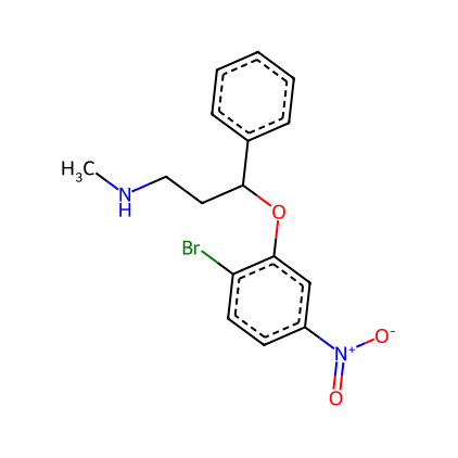 CNCCC(Oc1cc([N+](=O)[O-])ccc1Br)c1ccccc1